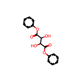 O=C(Oc1ccccc1)C(O)C(O)C(=O)Oc1ccccc1